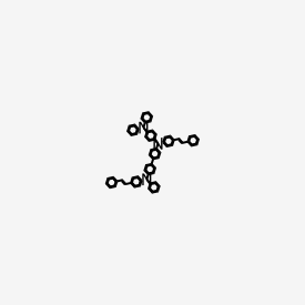 C(=Cc1ccc(N(c2ccccc2)c2ccc(-c3ccc(N(c4ccc(C=Cc5ccccc5)cc4)c4ccc(N(c5ccccc5)c5ccccc5)cc4)cc3)cc2)cc1)c1ccccc1